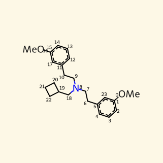 COc1cccc(CCN(CCc2cccc(OC)c2)CC2CCC2)c1